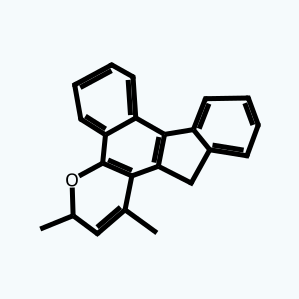 CC1=CC(C)Oc2c1c1c(c3ccccc23)-c2ccccc2C1